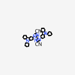 N#Cc1cn(-c2ccc3c(c2)c2ccccc2n3-c2ccccc2)c(-c2nc(C#N)cn2-c2ccc3c(c2)c2ccccc2n3-c2ccccc2)n1